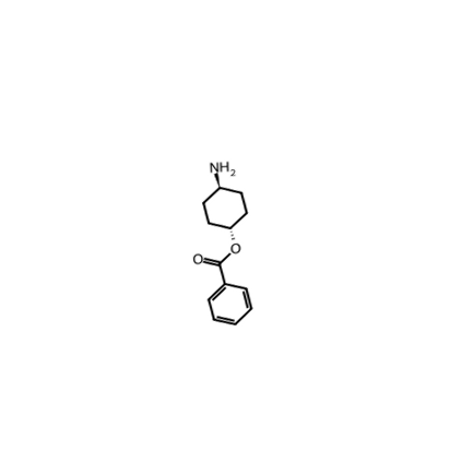 N[C@H]1CC[C@H](OC(=O)c2ccccc2)CC1